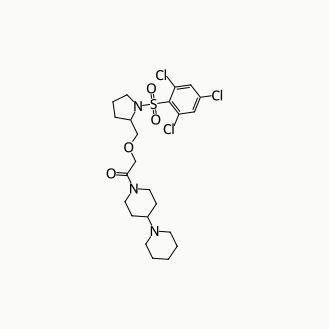 O=C(COCC1CCCN1S(=O)(=O)c1c(Cl)cc(Cl)cc1Cl)N1CCC(N2CCCCC2)CC1